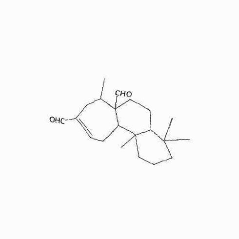 CC1CC(C=O)=CCC2C3(C)CCCC(C)(C)C3CCC12C=O